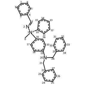 C[N+](N=Cc1ccccc1)(c1ccccc1)c1ccc(N(Cc2ccccc2)Cc2ccccc2)cc1